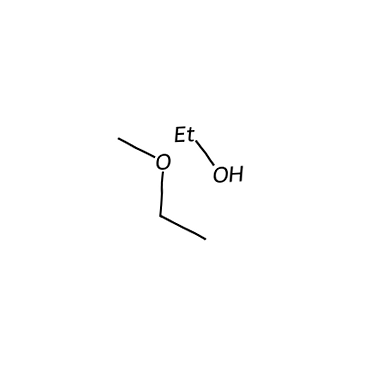 CCO.CCOC